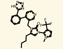 CCCCc1cn(-c2c(C(F)(F)F)ccn2C)c(=O)n1Cc1cnccc1-c1ccccc1-c1nnn[nH]1